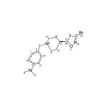 CN(C)c1ccc(CN2CCC([C@H]3CC(Br)=NO3)CC2)cc1